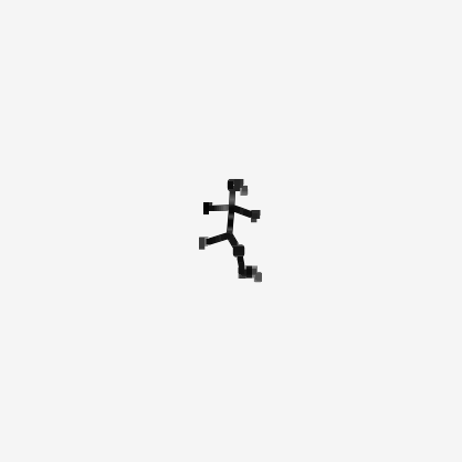 FC(O[SiH3])C(F)(F)C(F)(F)F